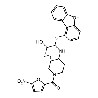 CC(O)C(NC1CCN(C(=O)c2ccc([N+](=O)[O-])o2)CC1)Oc1cccc2[nH]c3ccccc3c12